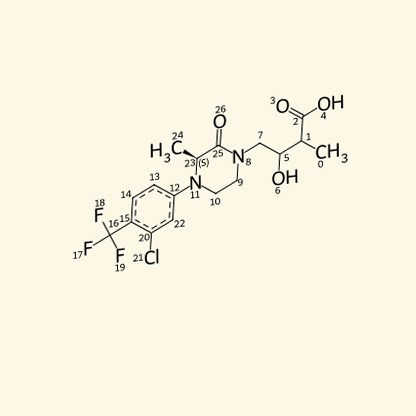 CC(C(=O)O)C(O)CN1CCN(c2ccc(C(F)(F)F)c(Cl)c2)[C@@H](C)C1=O